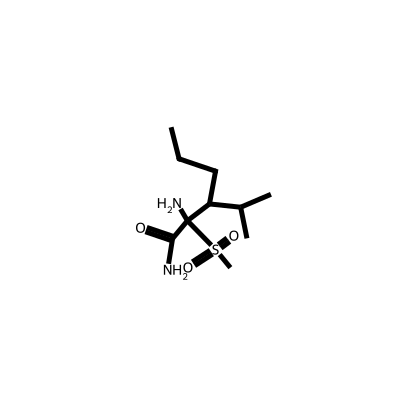 CCCC(C(C)C)C(N)(C(N)=O)S(C)(=O)=O